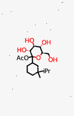 CC(=O)OC1(C2CCCC(C)(C(C)C)C2)O[C@H](CO)[C@@H](O)[C@H](O)[C@H]1O